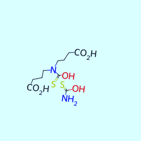 NC(O)=S.O=C(O)CCCN(CCCC(=O)O)C(O)=S